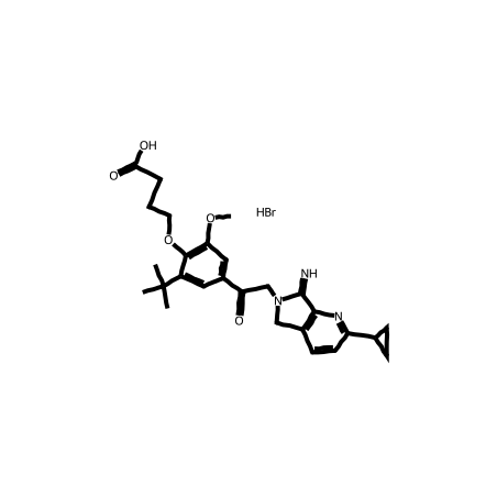 Br.COc1cc(C(=O)CN2Cc3ccc(C4CC4)nc3C2=N)cc(C(C)(C)C)c1OCCCC(=O)O